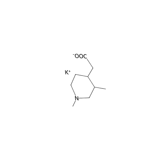 CC1CN(C)CCC1CC(=O)[O-].[K+]